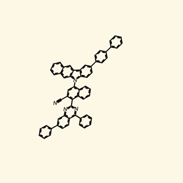 N#Cc1cc(-n2c3ccc(-c4ccc(-c5ccccc5)cc4)cc3c3cc4ccccc4cc32)c2ccccc2c1-c1nc(-c2ccccc2)c2ccc(-c3ccccc3)cc2n1